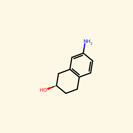 Nc1ccc2c(c1)C[C@H](O)CC2